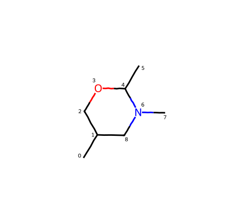 CC1COC(C)N(C)C1